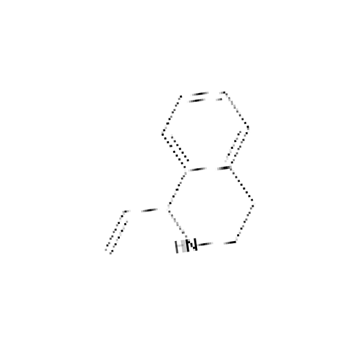 C=CC1NCCc2ccccc21